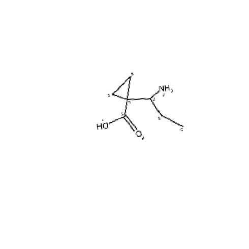 CCC(N)C1(C(=O)O)CC1